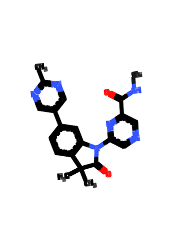 Cc1ncc(-c2ccc3c(c2)N(c2cncc(C(=O)NC(C)(C)C)n2)C(=O)C3(C)C)cn1